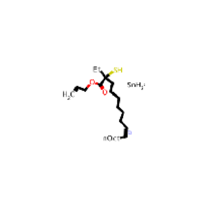 C=CCOC(=O)C(S)(CC)CCCCCC/C=C\CCCCCCCC.[SnH2]